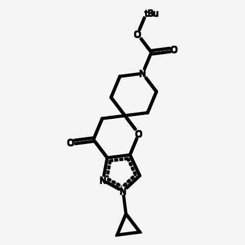 CC(C)(C)OC(=O)N1CCC2(CC1)CC(=O)c1nn(C3CC3)cc1O2